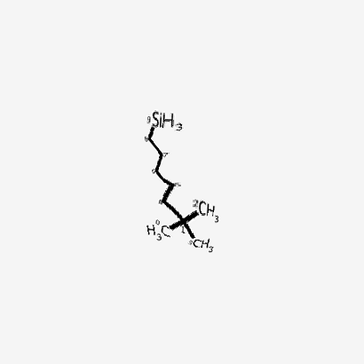 CC(C)(C)CCCCC[SiH3]